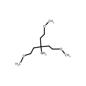 COCCC(N)(CCOC)CCOC